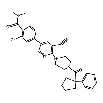 CN(C)C(=O)c1ccc(-c2cnc(N3CCN(C(=O)C4(c5ccccc5)CCCC4)CC3)c(C#N)c2)cc1Cl